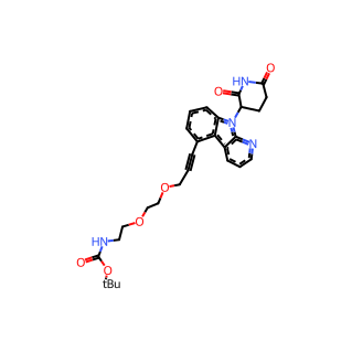 CC(C)(C)OC(=O)NCCOCCOCC#Cc1cccc2c1c1cccnc1n2C1CCC(=O)NC1=O